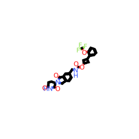 O=C1CCC(N2Cc3ccc(CNC(=O)OC4CC(c5ccccc5OC(F)(F)F)C4)cc3C2=O)C(=O)N1